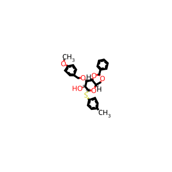 COc1ccc(CO[C@@H]2[C@@H](O)[C@H](Sc3ccc(C)cc3)O[C@@H]3COC(c4ccccc4)O[C@@H]23)cc1